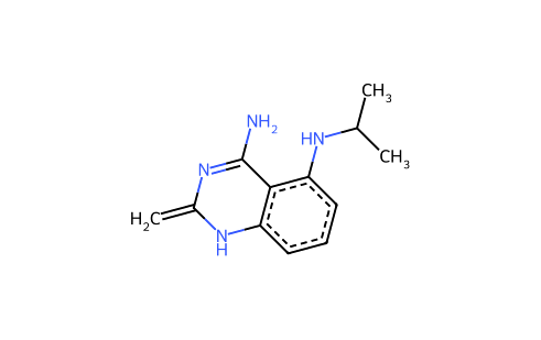 C=C1N=C(N)c2c(cccc2NC(C)C)N1